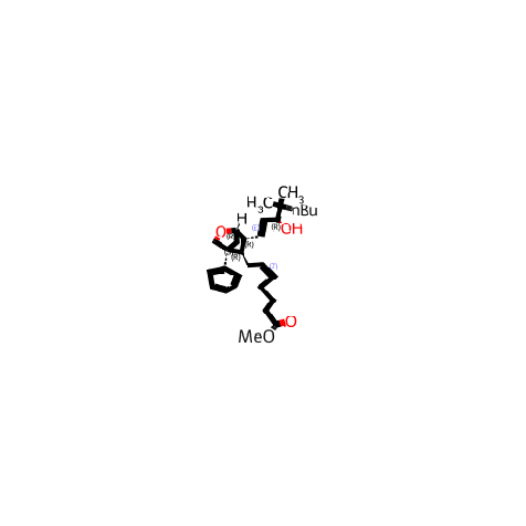 CCCCC(C)(C)[C@H](O)/C=C/[C@@H]1[C@@H](C/C=C\CCCC(=O)OC)[C@@]2(c3ccccc3)CO[C@@H]1C2